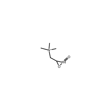 C[N+](C)(C)CC1O[PH]1=O